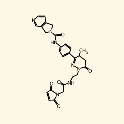 CC1CC(=O)N(CCNC(=O)CN2C(=O)C=CC2=O)N=C1c1ccc(NC(=O)N2Cc3ccncc3C2)cc1